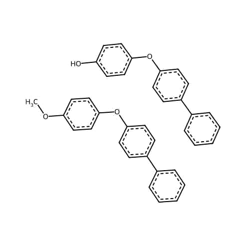 COc1ccc(Oc2ccc(-c3ccccc3)cc2)cc1.Oc1ccc(Oc2ccc(-c3ccccc3)cc2)cc1